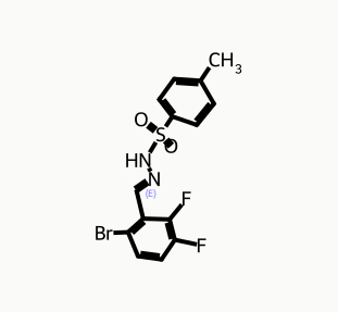 Cc1ccc(S(=O)(=O)N/N=C/c2c(Br)ccc(F)c2F)cc1